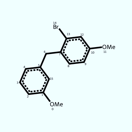 COc1cccc(Cc2ccc(OC)cc2Br)c1